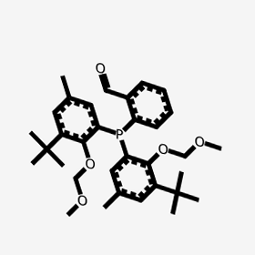 COCOc1c(P(c2ccccc2C=O)c2cc(C)cc(C(C)(C)C)c2OCOC)cc(C)cc1C(C)(C)C